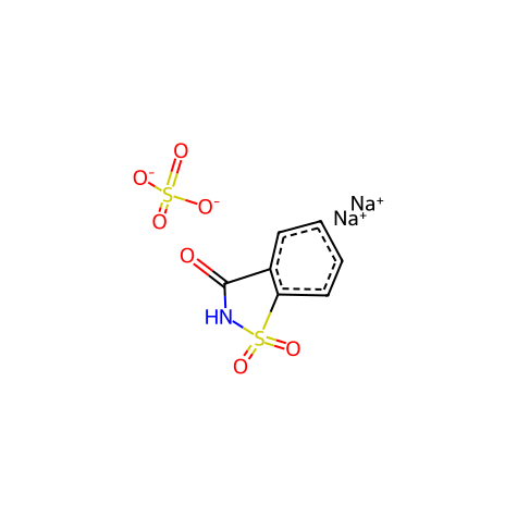 O=C1NS(=O)(=O)c2ccccc21.O=S(=O)([O-])[O-].[Na+].[Na+]